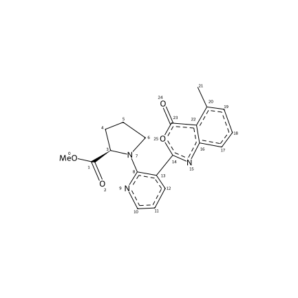 COC(=O)[C@H]1CCCN1c1ncccc1-c1nc2cccc(C)c2c(=O)o1